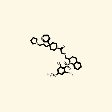 COc1cc(C)c(S(=O)(=O)N2c3ccccc3CCC2COCC(=O)N2CCC(CCCN3CCCC3)(c3cccnc3)CC2)c(C)c1